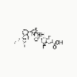 CCCCC(OCCC)c1cccc(-c2csc(NC(=O)c3cc(F)c(C=C(C)C(=O)O)c(F)c3)n2)c1F